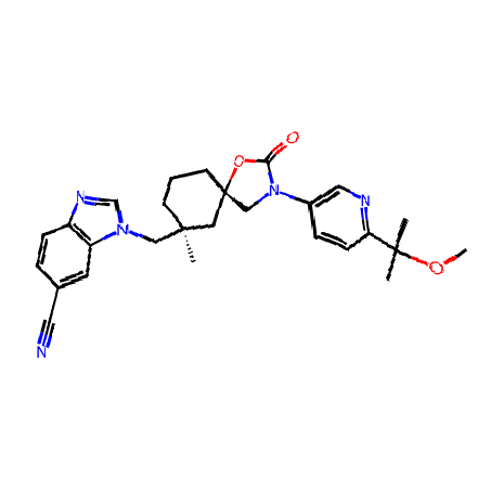 COC(C)(C)c1ccc(N2C[C@@]3(CCC[C@](C)(Cn4cnc5ccc(C#N)cc54)C3)OC2=O)cn1